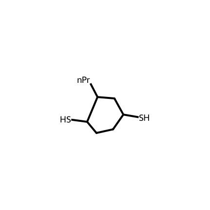 CCCC1CC(S)CCC1S